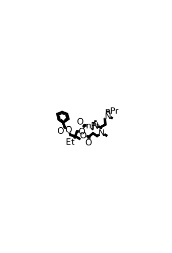 CCCC(=O)OCC(CC)(COC(=O)CCN(C)C(CCN(C)CCC)N(C)C)COC(=O)c1ccccc1